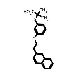 CC(C)(Sc1cccc(OCCc2ccc3ccccc3c2)c1)C(=O)O